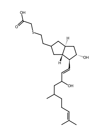 CC(C)=CCCC(C)CC(O)C=C[C@H]1[C@@H]2CC(CCSCC(=O)O)C[C@H]2C[C@@H]1O